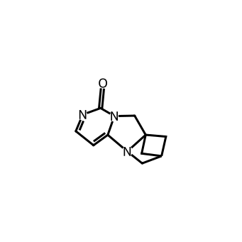 O=c1nccc2n1CC13CC(CN21)C3